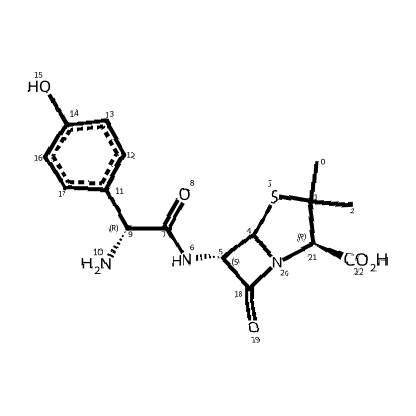 CC1(C)SC2[C@@H](NC(=O)[C@H](N)c3ccc(O)cc3)C(=O)N2[C@@H]1C(=O)O